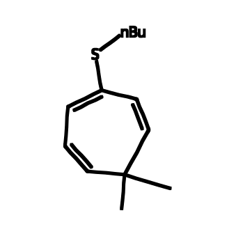 CCCCSC1=CC=CC(C)(C)C=C1